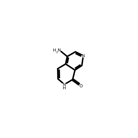 Nc1cncc2c(=O)[nH]ccc12